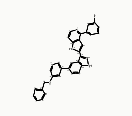 Fc1cccc(-c2nccc3[nH]c(-c4n[nH]c5ccc(-c6cncc(OCc7ccccc7)c6)cc45)cc23)c1